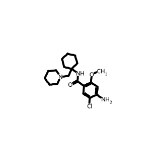 COc1cc(N)c(Cl)cc1C(=O)NC1(CN2CCCCC2)CCCCC1